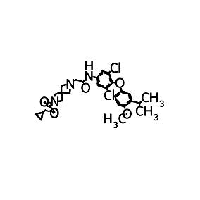 COc1ccc(Oc2c(Cl)cc(NC(=O)CN3CC4(C3)CN(S(=O)(=O)C3CC3)C4)cc2Cl)cc1C(C)C